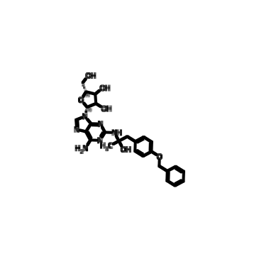 CC(O)(Cc1ccc(OCc2ccccc2)cc1)Nc1nc(N)c2ncn([C@@H]3O[C@H](CO)C(O)C3O)c2n1